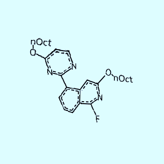 CCCCCCCCOc1ccnc(-c2cccc3c(F)nc(OCCCCCCCC)cc23)n1